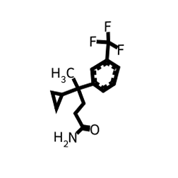 CC(CCC(N)=O)(c1cccc(C(F)(F)F)c1)C1CC1